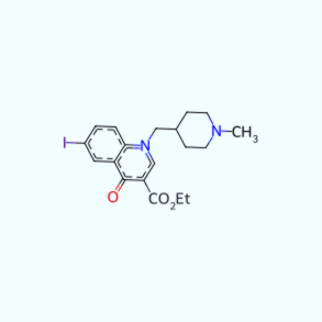 CCOC(=O)c1cn(CC2CCN(C)CC2)c2ccc(I)cc2c1=O